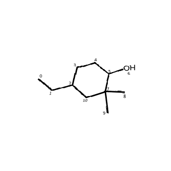 CCC1CCC(O)C(C)(C)C1